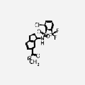 COC(=O)c1ccc2c(c1)C(NS(=O)(=O)c1c(Cl)cccc1C(F)(F)F)CC2